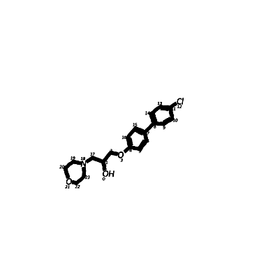 OC(COc1ccc(-c2ccc(Cl)cc2)cc1)CN1CCOCC1